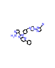 N#Cc1ccnc(N2CCN(Cc3ccc(-n4c(-c5cccnc5N)nc5ccc(-c6ccccc6)nc54)cc3)CC2)n1